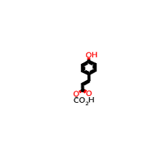 O=C(O)OC(=O)/C=C/c1ccc(O)cc1